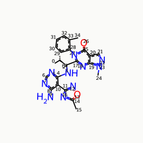 CC[C@H](Nc1ncnc(N)c1-c1noc(C)n1)c1nc2c(cnn2C)c(=O)n1-c1ccccc1C